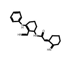 N=CC1=C(Nc2ccccc2)CCCC1NC(=O)/C=C1\CCCCC1=N